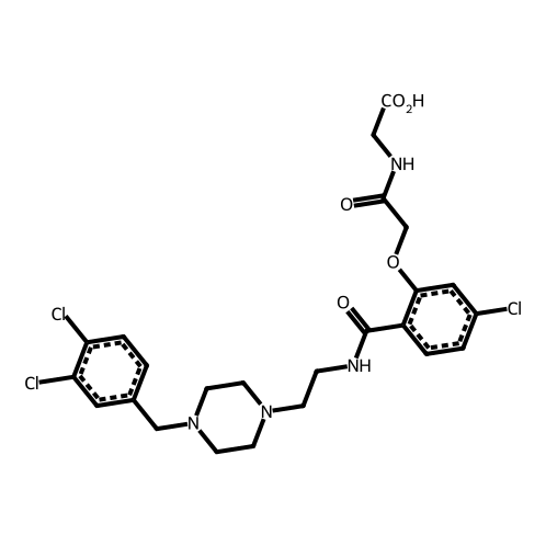 O=C(O)CNC(=O)COc1cc(Cl)ccc1C(=O)NCCN1CCN(Cc2ccc(Cl)c(Cl)c2)CC1